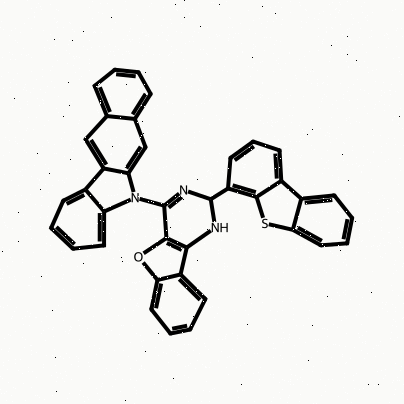 c1ccc2cc3c(cc2c1)c1ccccc1n3C1=NC(c2cccc3c2sc2ccccc23)Nc2c1oc1ccccc21